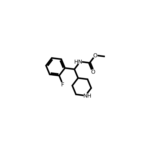 COC(=O)NC(c1ccccc1F)C1CCNCC1